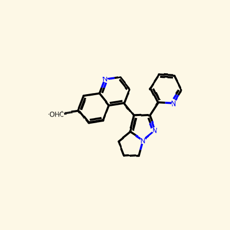 O=[C]c1ccc2c(-c3c(-c4ccccn4)nn4c3CCC4)ccnc2c1